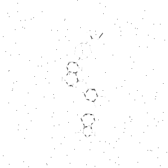 C=CC(=O)N1CC2CCCC1CC2c1ccc2ncnc(Nc3ccc(Oc4ccc5c(c4)ncn5C)c(C)c3)c2n1